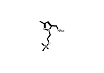 CNCc1cc(C)nn1CCO[Si](C)(C)C